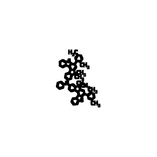 Cc1ccc(C)c(-c2cc3c(c4c2sc2ccccc24)-c2ccc(N(c4ccccc4)c4ccc5c(c4)C(C)(C)c4cc(-c6cc(C)ccc6C)c6sc7ccccc7c6c4-5)cc2C3(C)C)c1